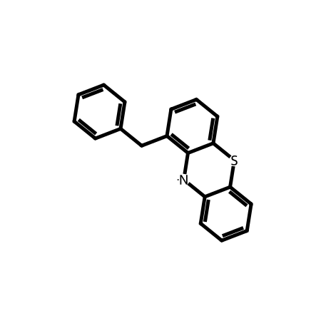 c1ccc(Cc2cccc3c2[N]c2ccccc2S3)cc1